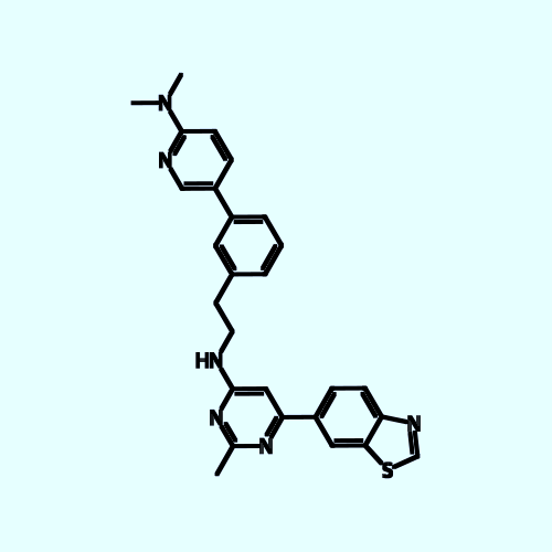 Cc1nc(NCCc2cccc(-c3ccc(N(C)C)nc3)c2)cc(-c2ccc3ncsc3c2)n1